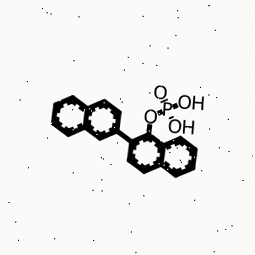 O=P(O)(O)Oc1c(-c2ccc3ccccc3c2)ccc2ccccc12